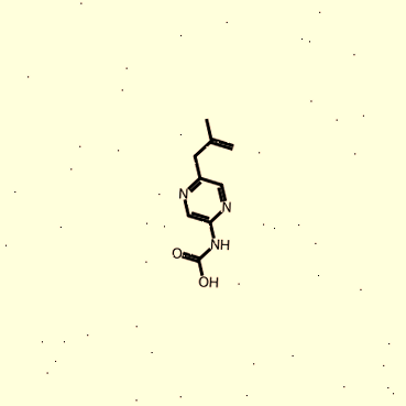 C=C(C)Cc1cnc(NC(=O)O)cn1